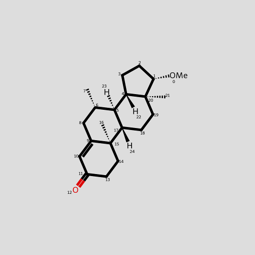 CO[C@H]1CC[C@H]2[C@@H]3[C@@H](C)CC4=CC(=O)CC[C@]4(C)[C@H]3CC[C@]12C